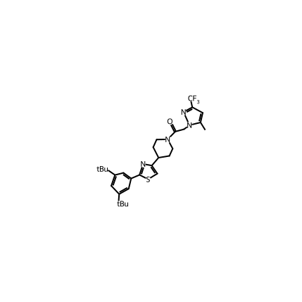 Cc1cc(C(F)(F)F)nn1CC(=O)N1CCC(c2csc(-c3cc(C(C)(C)C)cc(C(C)(C)C)c3)n2)CC1